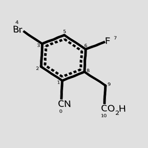 N#Cc1cc(Br)cc(F)c1CC(=O)O